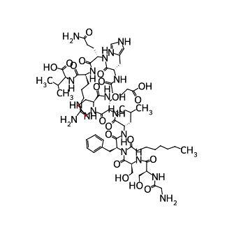 CCCCCCCC(=O)N(C(=O)[C@H](CO)NC(=O)[C@H](CO)NC(=O)CN)[C@@H](Cc1ccccc1)C(=O)N[C@@H](CC(C)C)C(=O)N[C@@H](CO)C(=O)N1CCC[C@H]1C(=O)N[C@@H](CCC(=O)O)C(=O)N[C@@H](Cc1c[nH]cn1)C(=O)N[C@@H](CCC(N)=O)C(=O)N[C@@H](CCCNC(=N)N)C(=O)N[C@H](C(=O)O)C(C)C